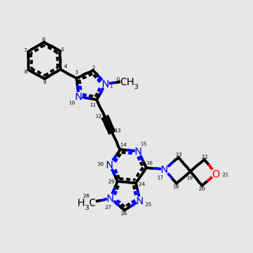 Cn1cc(-c2ccccc2)nc1C#Cc1nc(N2CC3(COC3)C2)c2ncn(C)c2n1